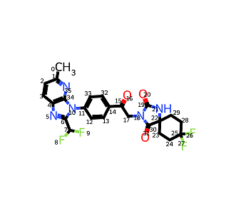 Cc1ccc2nc(C(F)F)n(-c3ccc(C(=O)CN4C(=O)NC5(CCC(F)(F)CC5)C4=O)cc3)c2n1